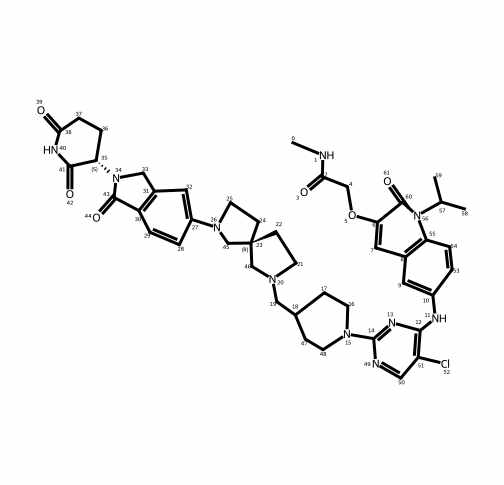 CNC(=O)COc1cc2cc(Nc3nc(N4CCC(CN5CC[C@@]6(CCN(c7ccc8c(c7)CN([C@H]7CCC(=O)NC7=O)C8=O)C6)C5)CC4)ncc3Cl)ccc2n(C(C)C)c1=O